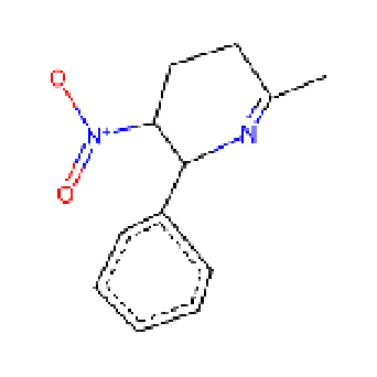 CC1=NC(c2ccccc2)C([N+](=O)[O-])CC1